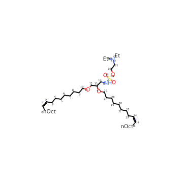 CCCCCCCC/C=C\CCCCCCCCOCC(CNS(=O)(=O)OCCN(CC)CC)OCCCCCCCC/C=C\CCCCCCCC